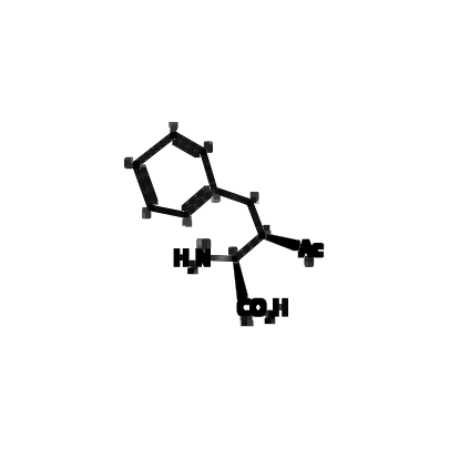 CC(=O)[C@H](Cc1ccccc1)[C@H](N)C(=O)O